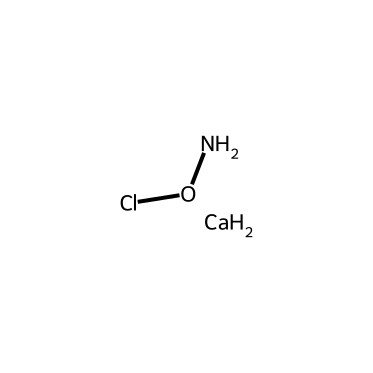 NOCl.[CaH2]